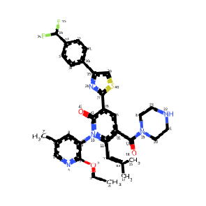 CCOc1ncc(C)cc1-n1c(C=C(C)C)c(C(=O)N2CCNCC2)cc(-c2nc(-c3ccc(C(F)F)cc3)cs2)c1=O